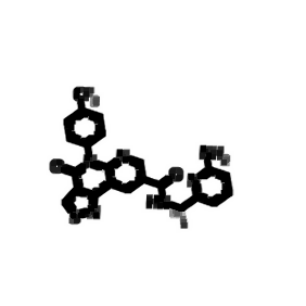 C[C@H](NC(=O)c1cnc2c(c1)c1nscc1c(=O)n2-c1ccc(C(F)(F)F)cc1)c1cccc(N)n1